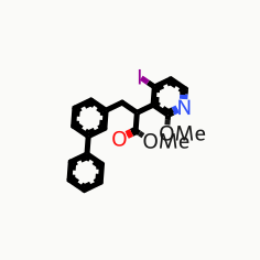 COC(=O)C(Cc1cccc(-c2ccccc2)c1)c1c(I)ccnc1OC